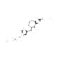 CC(=O)Nc1nc2c(s1)C(=O)C(C(=O)c1cn(CO[Si](C)(C)C)c(C)n1)CCC2